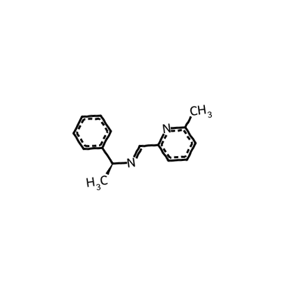 Cc1cccc(/C=N/[C@@H](C)c2ccccc2)n1